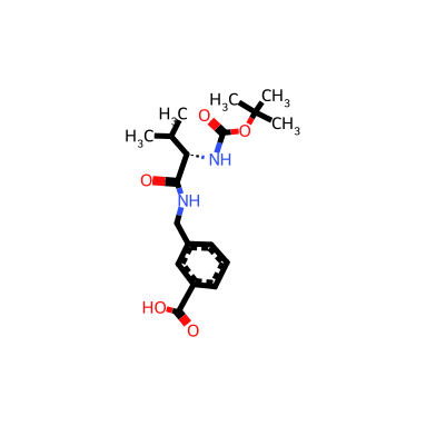 CC(C)[C@H](NC(=O)OC(C)(C)C)C(=O)NCc1cccc(C(=O)O)c1